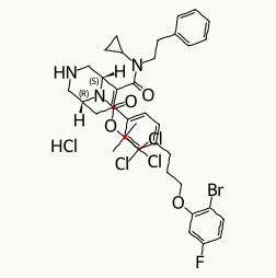 CC(C)(OC(=O)N1[C@H]2CNC[C@@H]1C(C(=O)N(CCc1ccccc1)C1CC1)=C(c1ccc(CCCOc3cc(F)ccc3Br)cc1)C2)C(Cl)(Cl)Cl.Cl